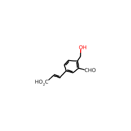 O=Cc1cc(/C=C/C(=O)O)ccc1CO